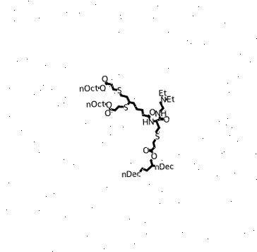 CCCCCCCCCCCCC(CCCCCCCCCC)COC(=O)CCSCCC(NC(=O)CCCCC(CCSCCC(=O)OCCCCCCCC)SCCC(=O)OCCCCCCCC)C(=O)NCCN(CC)CC